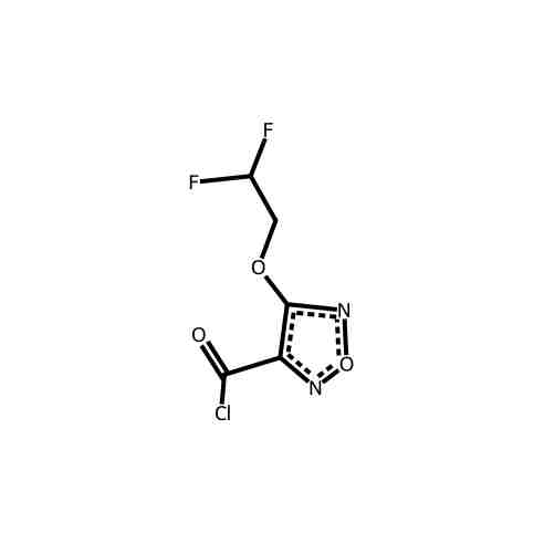 O=C(Cl)c1nonc1OCC(F)F